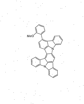 COc1ccccc1-c1ccc2c3c4c5ccccc5n5c6ccccc6c(cc3n3c6ccccc6c1c23)c45